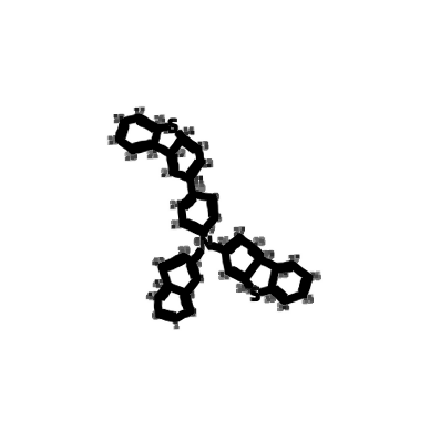 c1ccc2cc(N(c3ccc(-c4ccc5sc6ccccc6c5c4)cc3)c3ccc4c(c3)sc3ccccc34)ccc2c1